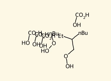 CCCCC(CC)COO.CCCCOO.O=C(O)O.O=C(O)O.O=C(O)O.O=C(O)O